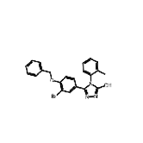 Cc1ccccc1-n1c(O)nnc1-c1ccc(OCc2ccccc2)c(Br)c1